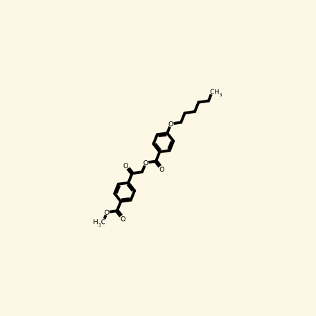 CCCCCCOc1ccc(C(=O)OCC(=O)c2ccc(C(=O)OC)cc2)cc1